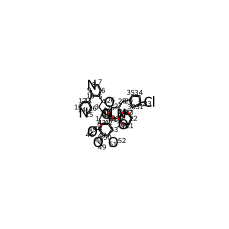 CCC(CCc1ccncc1-c1ccncc1)N(Cc1ccccc1)C(=O)C(Cc1ccc(Cl)cc1)N(C)C(=O)C(=O)c1cc(OC)c(OC)c(OC)c1